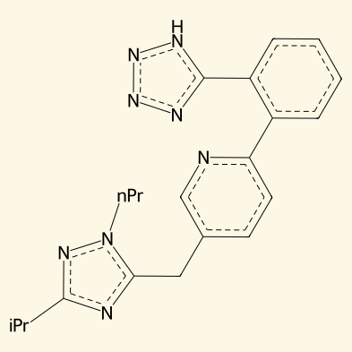 CCCn1nc(C(C)C)nc1Cc1ccc(-c2ccccc2-c2nnn[nH]2)nc1